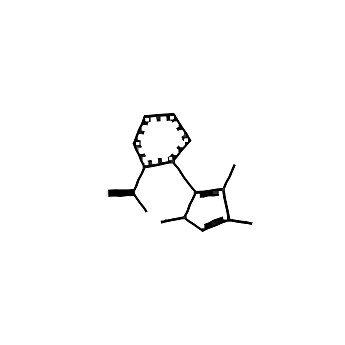 CC1=CC(C)C(c2ccccc2C(=N)C(C)(C)C)=C1C